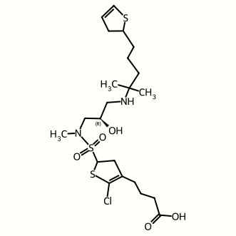 CN(C[C@H](O)CNC(C)(C)CCCC1CC=CS1)S(=O)(=O)C1CC(CCCC(=O)O)=C(Cl)S1